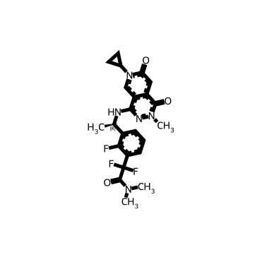 C[C@@H](Nc1nn(C)c(=O)c2cc(=O)n(C3CC3)cc12)c1cccc(C(F)(F)C(=O)N(C)C)c1F